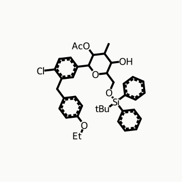 CCOc1ccc(Cc2cc(C3OC(CO[Si](c4ccccc4)(c4ccccc4)C(C)(C)C)C(O)C(C)C3OC(C)=O)ccc2Cl)cc1